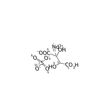 O=C([O-])C(O)C(O)C(=O)O.O=S(=O)([O-])[O-].[Nd+3]